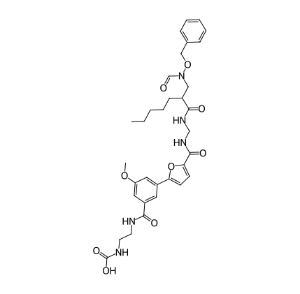 CCCCCC(CN(C=O)OCc1ccccc1)C(=O)NCNC(=O)c1ccc(-c2cc(OC)cc(C(=O)NCCNC(=O)O)c2)o1